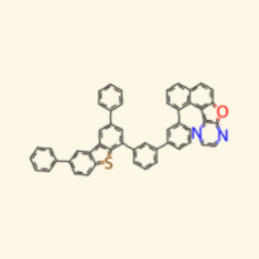 c1ccc(-c2ccc3sc4c(-c5cccc(-c6cccc(-c7cccc8ccc9oc%10nccnc%10c9c78)c6)c5)cc(-c5ccccc5)cc4c3c2)cc1